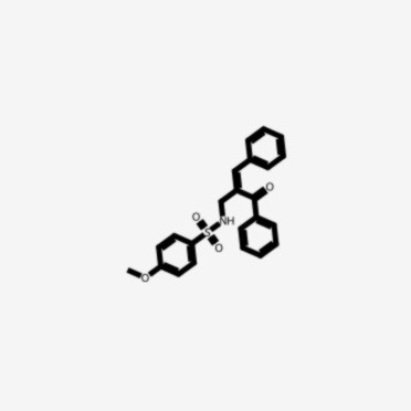 COc1ccc(S(=O)(=O)NCC(=Cc2ccccc2)C(=O)c2ccccc2)cc1